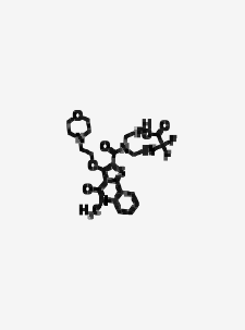 CC(C)CN(CC(C)C)C(=O)c1sc2c(c1OCCN1CCOCC1)c(=O)n(C)c1ccccc21.O=C(O)C(F)(F)F